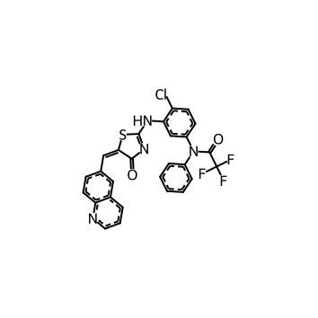 O=C1N=C(Nc2cc(N(C(=O)C(F)(F)F)c3ccccc3)ccc2Cl)SC1=Cc1ccc2ncccc2c1